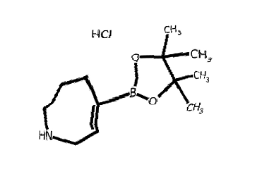 CC1(C)OB(C2=CCNCCC2)OC1(C)C.Cl